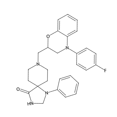 O=C1NCN(c2ccccc2)C12CCN(CC1CN(c3ccc(F)cc3)c3ccccc3O1)CC2